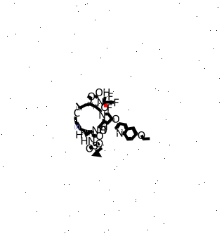 CCOc1ccc2ncc(O[C@@H]3C[C@H]4C(=O)N[C@]5(C(=O)NS(=O)(=O)C6(C)CC6)C[C@H]5/C=C\CC[C@@H](C)C[C@@H](CC)[C@H](N(C(=O)O)C(C)(C)C(F)(F)F)C(=O)N4C3)cc2c1